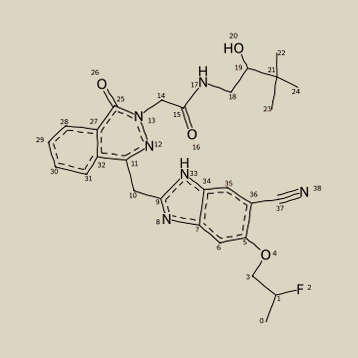 CC(F)COc1cc2nc(Cc3nn(CC(=O)NCC(O)C(C)(C)C)c(=O)c4ccccc34)[nH]c2cc1C#N